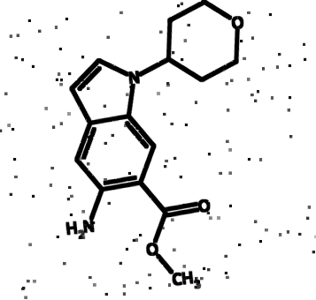 COC(=O)c1cc2c(ccn2C2CCOCC2)cc1N